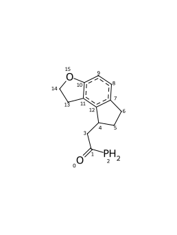 O=C(P)CC1CCc2ccc3c(c21)CCO3